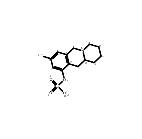 O=S(=O)(Oc1cc(F)cc2c1CC1CCCCN1C2)C(F)(F)F